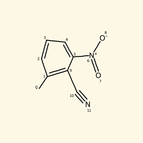 [CH2]c1cccc([N+](=O)[O-])c1C#N